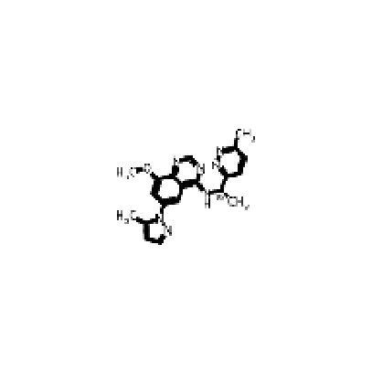 COc1cc(-n2nccc2C)cc2c(N[C@H](C)c3ccc(C)nn3)ncnc12